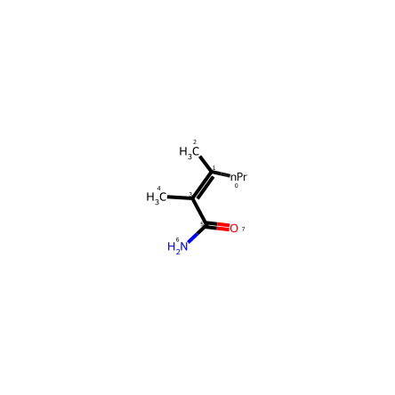 CCCC(C)=C(C)C(N)=O